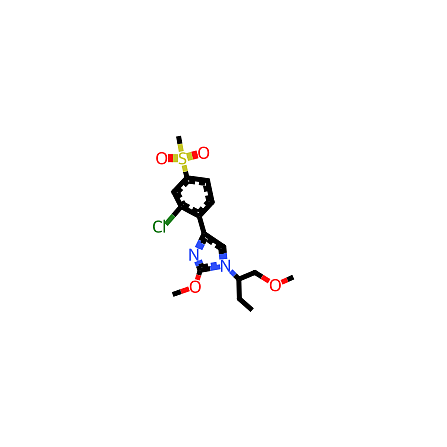 CCC(COC)n1cc(-c2ccc(S(C)(=O)=O)cc2Cl)nc1OC